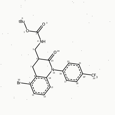 CC(C)(C)OC(=O)NCC1Cc2c(Br)cccc2N(c2ccc(C(F)(F)F)cc2)C1=O